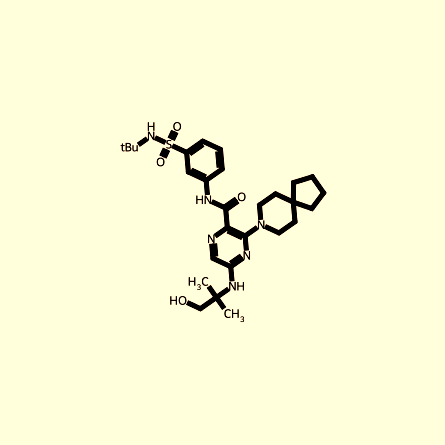 CC(C)(C)NS(=O)(=O)c1cccc(NC(=O)c2ncc(NC(C)(C)CO)nc2N2CCC3(CCCC3)CC2)c1